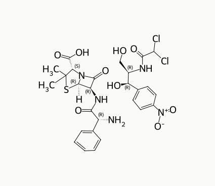 CC1(C)S[C@@H]2[C@H](NC(=O)[C@H](N)c3ccccc3)C(=O)N2[C@H]1C(=O)O.O=C(N[C@H](CO)[C@H](O)c1ccc([N+](=O)[O-])cc1)C(Cl)Cl